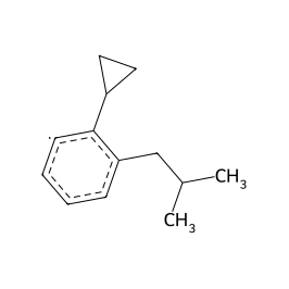 CC(C)Cc1ccc[c]c1C1CC1